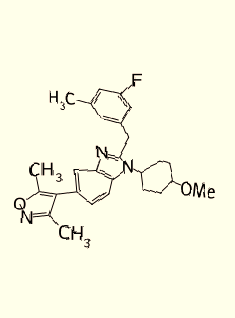 COC1CCC(n2c(Cc3cc(C)cc(F)c3)nc3cc(-c4c(C)noc4C)ccc32)CC1